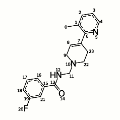 Cc1cccnc1C1=CCN(CNC(=O)c2cccc(F)c2)CC1